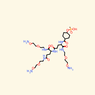 CP(=O)(O)OC1CCC(C(=O)NC(CCC(=O)NC(CCC(=O)NCCOCCON)C(=O)NCCOCCON)C(=O)NCCOCCON)CC1